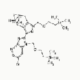 C[C@@]12Cc3c(c(-c4nc5ncc(Br)cc5n4COCC[Si](C)(C)C)nn3COCC[Si](C)(C)C)C[C@@H]1C2